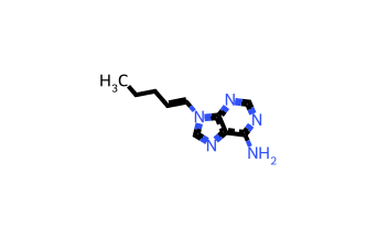 CCCC=Cn1cnc2c(N)ncnc21